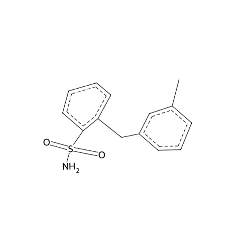 Cc1cccc(Cc2ccccc2S(N)(=O)=O)c1